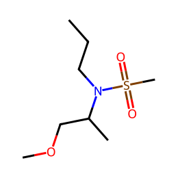 CCCN(C(C)COC)S(C)(=O)=O